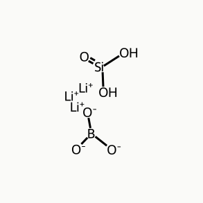 O=[Si](O)O.[Li+].[Li+].[Li+].[O-]B([O-])[O-]